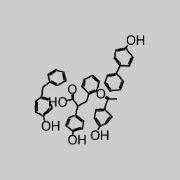 CC(=O)c1ccc(O)cc1.O=C(O)C(Cc1ccccc1)c1ccc(O)cc1.Oc1ccc(-c2ccccc2)cc1.Oc1ccc(Cc2ccccc2)cc1